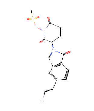 CS(=O)(=O)ON1C(=O)CCC(N2Cc3cc(CCN)ccc3C2=O)C1=O